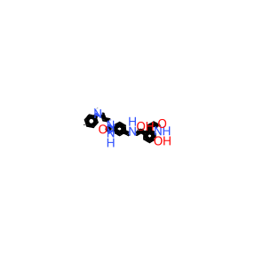 CN(CCCn1c(=O)[nH]c2cc(CNC[C@H](O)c3ccc(O)c4[nH]c(=O)ccc34)ccc21)C1CC[CH]CC1